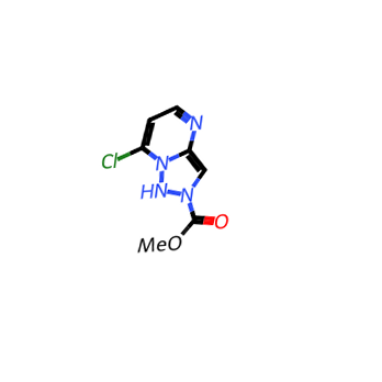 COC(=O)N1C=C2N=CC=C(Cl)N2N1